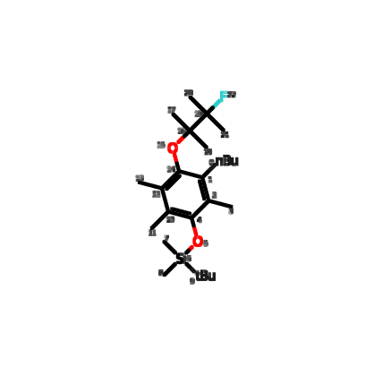 CCCCc1c(C)c(O[Si](C)(C)C(C)(C)C)c(C)c(C)c1OC(C)(C)C(C)(C)F